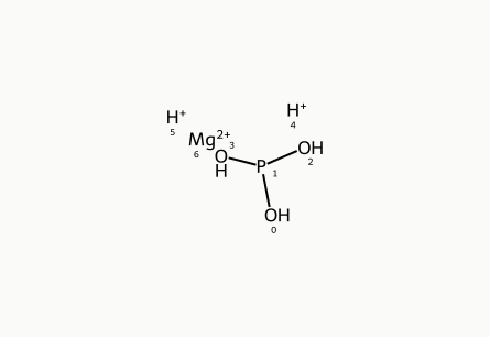 OP(O)O.[H+].[H+].[Mg+2]